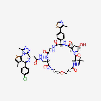 Cc1csc2c1C(c1ccc(Cl)cc1)=N[C@@H](CC(=O)NC[C@H]1NC(=O)CNC(=O)[C@@H](c3ccc(-c4scnc4C)cc3)NC(=O)[C@@H]3C[C@@H](O)CN3C(=O)[C@H](C(C)(C)C)NC(=O)CCOCCNC1=O)c1nnc(C)n1-2